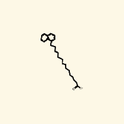 CCC(=O)CCCCCCCCCCCCCCc1cccc2ccccc12